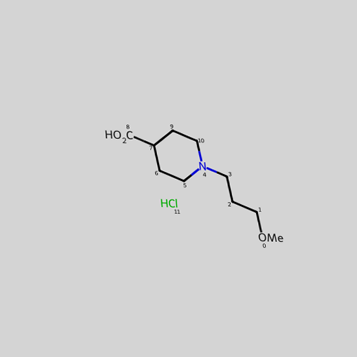 COCCCN1CCC(C(=O)O)CC1.Cl